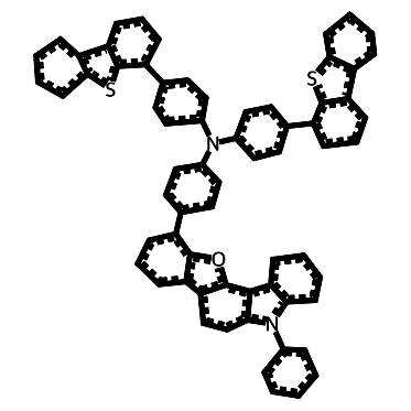 c1ccc(-n2c3ccccc3c3c4oc5c(-c6ccc(N(c7ccc(-c8cccc9c8sc8ccccc89)cc7)c7ccc(-c8cccc9c8sc8ccccc89)cc7)cc6)cccc5c4ccc32)cc1